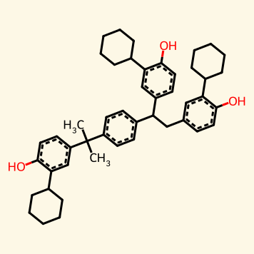 CC(C)(c1ccc(C(Cc2ccc(O)c(C3CCCCC3)c2)c2ccc(O)c(C3CCCCC3)c2)cc1)c1ccc(O)c(C2CCCCC2)c1